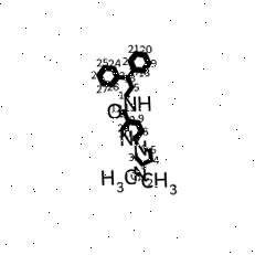 CN(C)[C@H]1CCN(c2ccc(C(=O)NCCC(c3ccccc3)c3ccccc3)cn2)C1